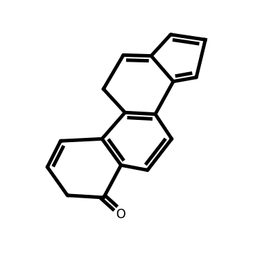 O=C1CC=Cc2c1ccc1c2CC=C2C=CC=C21